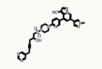 Cn1cc(-c2cc(-c3ccc(N4CCN(S(=O)(=O)CC(O)CC#CCc5cncnc5)CC4)nc3)c3c(C#N)cnn3c2)cn1